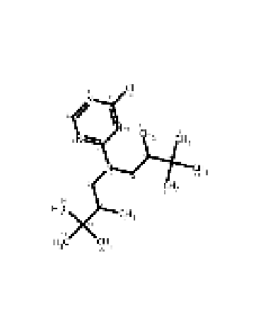 CC(CN(CC(C)C(C)(C)C)c1ncnc(Cl)n1)C(C)(C)C